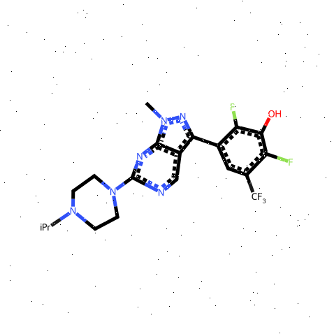 CC(C)N1CCN(c2ncc3c(-c4cc(C(F)(F)F)c(F)c(O)c4F)nn(C)c3n2)CC1